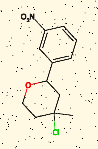 CC1(Cl)CCOC(c2cccc([N+](=O)[O-])c2)C1